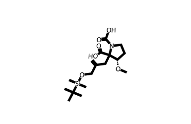 C=C(CO[Si](C)(C)C(C)(C)C)CC1(C(=O)O)[C@@H](OC)CCN1C(=O)O